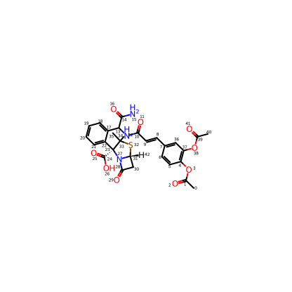 CC(=O)Oc1ccc(C=CC(=O)NC(C(N)=O)c2ccccc2[C@]2(C(=O)O)N3C(=O)C[C@H]3SC2(C)C)cc1OC(C)=O